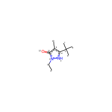 CCn1[nH]c(C(C)(C)C)c(C)c1=O